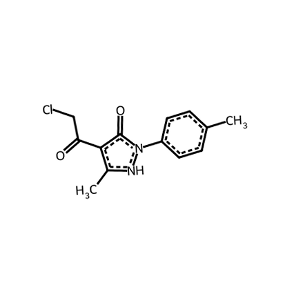 Cc1ccc(-n2[nH]c(C)c(C(=O)CCl)c2=O)cc1